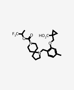 Cc1ccc(CN2CCCC23CCN(C(=O)OC(C)C(F)(F)F)CC3)c(OCC2(C(=O)O)CC2)c1